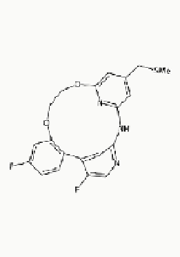 CSCc1cc2nc(c1)OCCOc1cc(F)ccc1-c1cc(ncc1F)N2